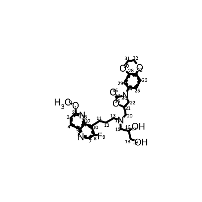 COc1ccc2ncc(F)c(CCCN(CC(O)CO)CC3CN(c4ccc5c(c4)OCCO5)C(=O)O3)c2n1